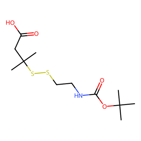 CC(C)(C)OC(=O)NCCSSC(C)(C)CC(=O)O